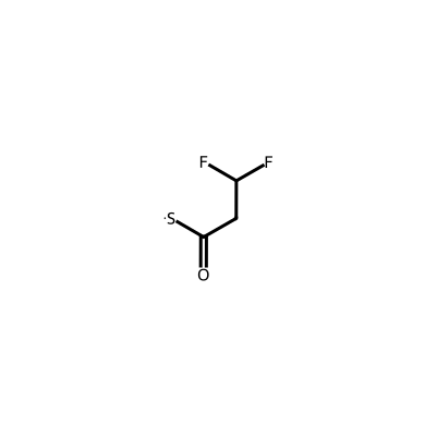 O=C([S])CC(F)F